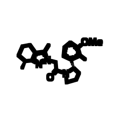 COc1cccc([C@@H]2CCCN2C(=O)Cn2nc3c(c2C)CCC[C@@H]3C)c1C